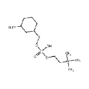 CC1CCCC(SOP(=O)(O)OCC[N+](C)(C)C)C1